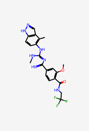 CN/C(=N\C(=N)c1ccc(C(=O)NCC(F)(F)F)c(OC)c1)Nc1ccc2[nH]ncc2c1C